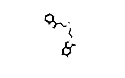 Cc1cc2c(cc1C)C(=O)N(CCCN(C)CCc1coc3ccccc13)C2